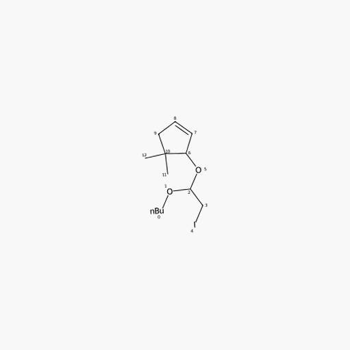 CCCCOC(CI)OC1C=CCC1(C)C